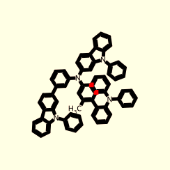 Cc1cc(N(c2cccc(-c3ccc4c5ccccc5n(-c5ccccc5)c4c3)c2)c2ccc3c4ccccc4n(-c4ccccc4)c3c2)ccc1-c1ccccc1N(c1ccccc1)c1ccccc1